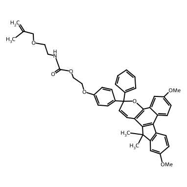 C=C(C)COCCNC(=O)OCCOc1ccc(C2(c3ccccc3)C=Cc3c4c(c5ccc(OC)cc5c3O2)-c2ccc(OC)cc2C4(C)C)cc1